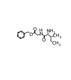 CC[C@H](C)[C@H](N)C(=O)NCC(=O)OCc1ccccc1